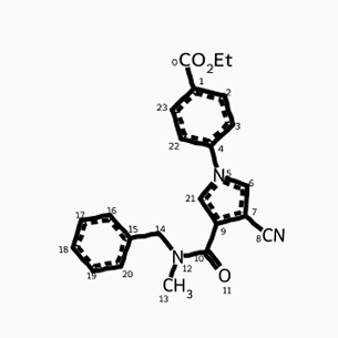 CCOC(=O)c1ccc(-n2cc(C#N)c(C(=O)N(C)Cc3ccccc3)c2)cc1